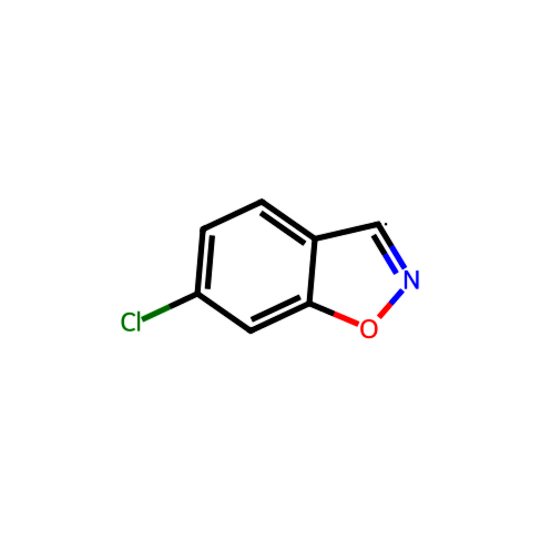 Clc1ccc2[c]noc2c1